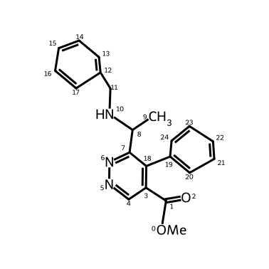 COC(=O)c1cnnc(C(C)NCc2ccccc2)c1-c1ccccc1